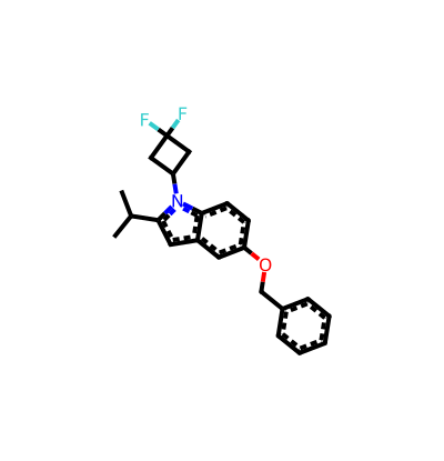 CC(C)c1cc2cc(OCc3ccccc3)ccc2n1C1CC(F)(F)C1